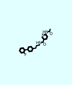 CC(=O)Nc1ccc(C(=O)NCCCc2ccc(-c3ccccc3F)cc2)cn1